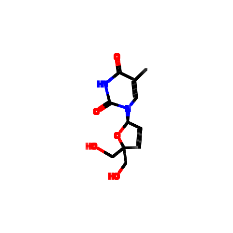 Cc1cn([C@H]2C=CC(CO)(CO)O2)c(=O)[nH]c1=O